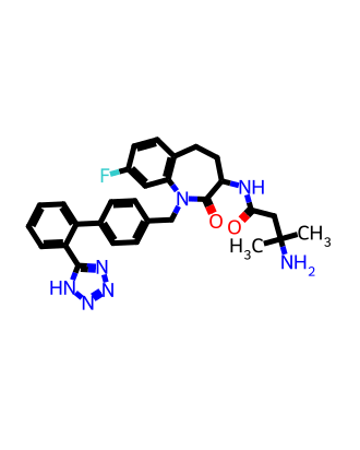 CC(C)(N)CC(=O)NC1CCc2ccc(F)cc2N(Cc2ccc(-c3ccccc3-c3nnn[nH]3)cc2)C1=O